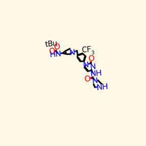 CC(C)(C)OC(=O)NC1C2CN(Cc3ccc(-n4ccc(NC(=O)N5CCNCC5)nc4=O)cc3C(F)(F)F)CC21